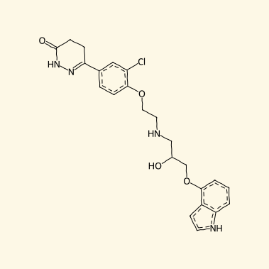 O=C1CCC(c2ccc(OCCNCC(O)COc3cccc4[nH]ccc34)c(Cl)c2)=NN1